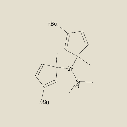 CCCCC1=C[C](C)([Zr]([SiH](C)C)[C]2(C)C=CC(CCCC)=C2)C=C1